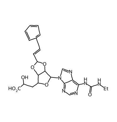 CCNC(=O)Nc1ncnc2c1ncn2C1OC(CC(O)C(=O)O)C2OC(C=Cc3ccccc3)OC21